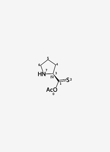 CC(=O)OC(=S)[C@@H]1CCCN1